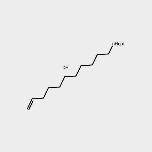 C=CCCCCCCCCCCCCCCCC.[KH]